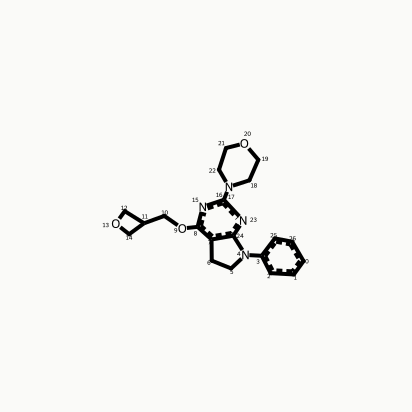 c1ccc(N2CCc3c(OCC4COC4)nc(N4CCOCC4)nc32)cc1